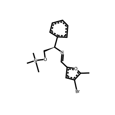 Cc1oc(/C=N/[C@@H](CO[Si](C)(C)C)c2ccccc2)cc1Br